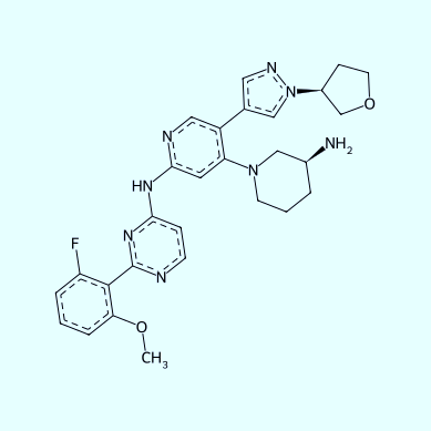 COc1cccc(F)c1-c1nccc(Nc2cc(N3CCC[C@H](N)C3)c(-c3cnn([C@H]4CCOC4)c3)cn2)n1